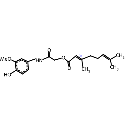 COc1cc(CNC(=O)COC(=O)/C=C(\C)CCC=C(C)C)ccc1O